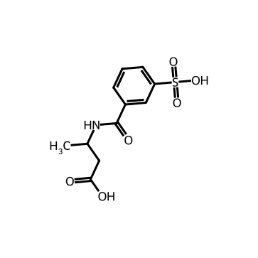 CC(CC(=O)O)NC(=O)c1cccc(S(=O)(=O)O)c1